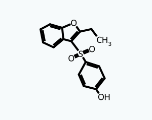 CCc1oc2ccccc2c1S(=O)(=O)c1ccc(O)cc1